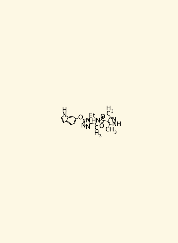 CCn1c(Oc2ccc3cc[nH]c3c2)nnc1[C@@H](C)NS(=O)(=O)c1c(C)n[nH]c1C